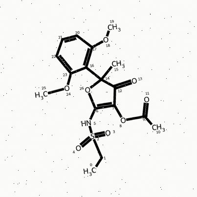 CCS(=O)(=O)NC1=C(OC(C)=O)C(=O)C(C)(c2c(OC)cccc2OC)O1